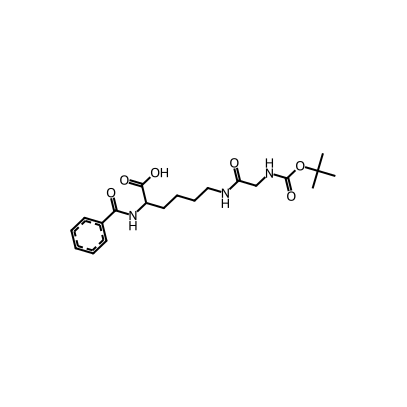 CC(C)(C)OC(=O)NCC(=O)NCCCCC(NC(=O)c1ccccc1)C(=O)O